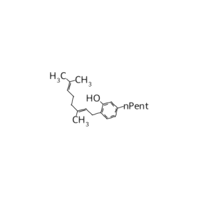 CCCCCc1ccc(C/C=C(\C)CCC=C(C)C)c(O)c1